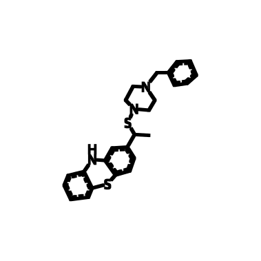 CC(SN1CCN(Cc2ccccc2)CC1)c1ccc2c(c1)Nc1ccccc1S2